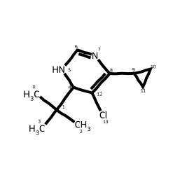 CC(C)(C)C1NC=NC(C2CC2)=C1Cl